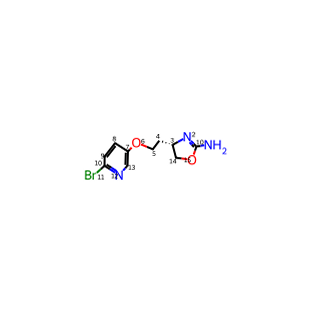 NC1=N[C@@H](CCOc2ccc(Br)nc2)CO1